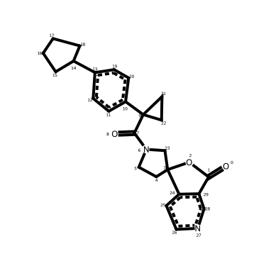 O=C1OC2(CCN(C(=O)C3(c4ccc(C5CCCC5)cc4)CC3)C2)c2ccncc21